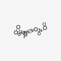 O=C1c2cc(N3CCN(CCCCC4(C(=O)NCC(F)(F)F)c5ccccc5-c5ccccc54)CC3)ccc2CN1Cc1cccc(Cl)c1